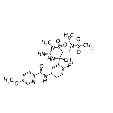 CCN(C[C@@H]1[C@](C)(C2=CC(NC(=O)c3ccc(OC)cn3)CC=C2F)NC(=N)N(C)S1(=O)=O)S(C)(=O)=O